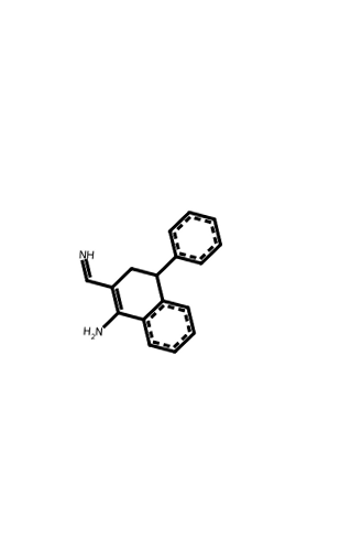 N=CC1=C(N)c2ccccc2C(c2ccccc2)C1